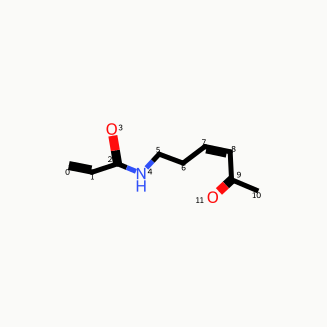 C=CC(=O)NCC/C=C\C(C)=O